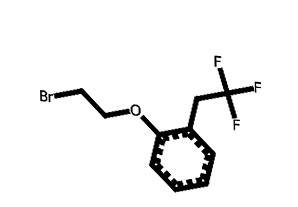 FC(F)(F)Cc1ccccc1OCCBr